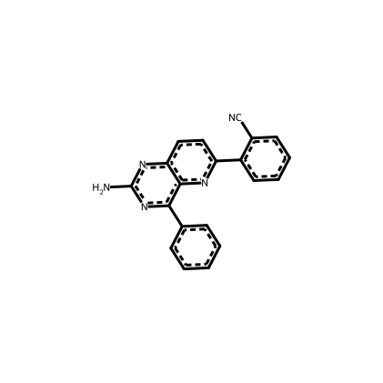 N#Cc1ccccc1-c1ccc2nc(N)nc(-c3ccccc3)c2n1